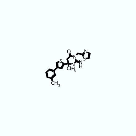 Cc1cccc(-c2csc([C@]3(C)CC(=O)N(Cc4nccs4)C(=N)N3)c2)c1